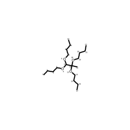 CCCCOC(OCCCC)C(C)(OCCCC)OCCCC